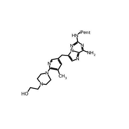 CCCC(C)Nc1nc(N)c2ncc(Cc3cnc(N4CCN(CCO)CC4)c(C)c3)n2n1